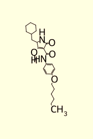 CCCCCCOc1ccc(NC(=O)C2=C(O)C(CC3CCCCC3)NC2=O)cc1